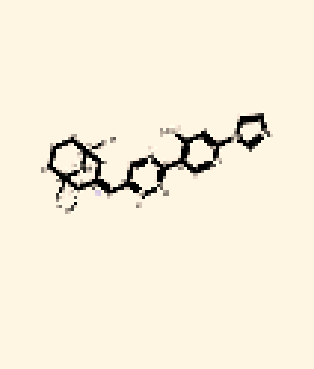 Oc1cc(-n2ccnc2)ncc1-c1ncc(/C=C2\C[C@H]3CCC[C@H](N3)[C@H]2F)nn1